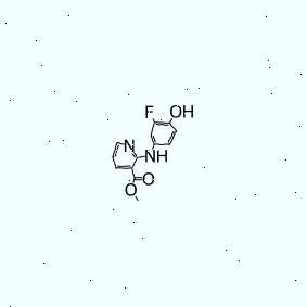 COC(=O)c1cccnc1Nc1ccc(O)c(F)c1